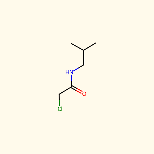 CC(C)CNC(=O)CCl